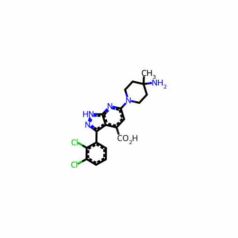 CC1(N)CCN(c2cc(C(=O)O)c3c(-c4cccc(Cl)c4Cl)n[nH]c3n2)CC1